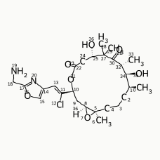 C[C@H]1CCC[C@@]2(C)O[C@H]2C[C@@H](C(Cl)=Cc2coc(CN)n2)OC(=O)C[C@H](O)C(C)(C)C(=O)[C@H](C)[C@H]1O